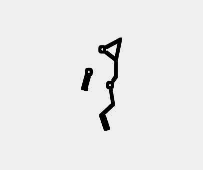 C=CCOCC1CO1.[CH]=O